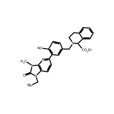 CCOC(=O)C1c2ccccc2CCN1Cc1ccc(C#N)c(-c2ccc3c(n2)n(C)c(=O)n3CC(C)(C)C)c1